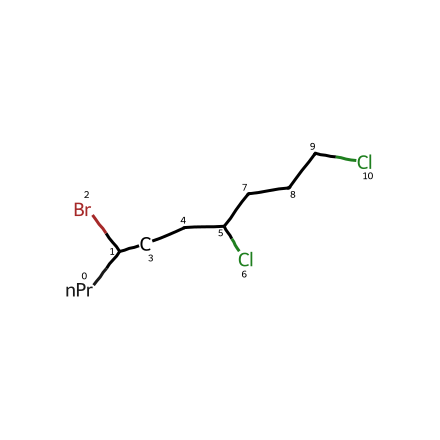 CCCC(Br)CCC(Cl)CCCCl